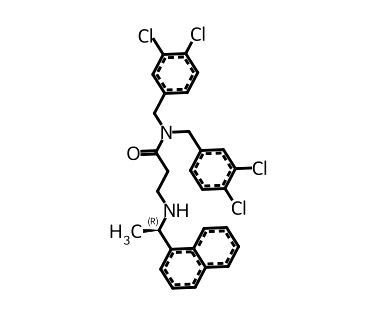 C[C@@H](NCCC(=O)N(Cc1ccc(Cl)c(Cl)c1)Cc1ccc(Cl)c(Cl)c1)c1cccc2ccccc12